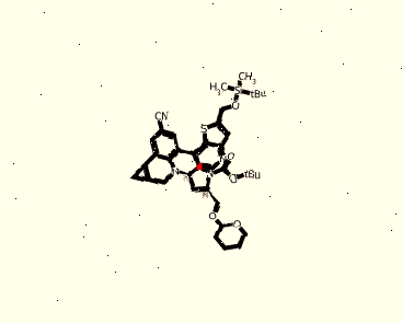 CC(C)(C)OC(=O)N1C[C@H](N2CC3CC3c3cc(C#N)cc(-c4ccnc5cc(CO[Si](C)(C)C(C)(C)C)sc45)c32)C[C@@H]1COC1CCCCO1